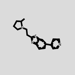 CC1CCCN1CCc1nc2ccc(-c3ccncc3)cc2s1